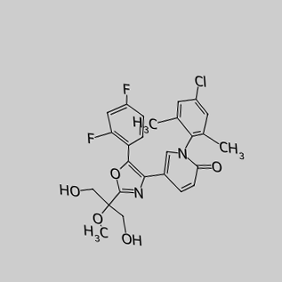 COC(CO)(CO)c1nc(-c2ccc(=O)n(-c3c(C)cc(Cl)cc3C)c2)c(-c2ccc(F)cc2F)o1